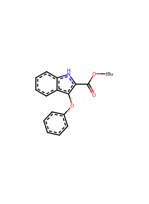 CC(C)(C)OC(=O)c1[nH]c2ccccc2c1Oc1ccccc1